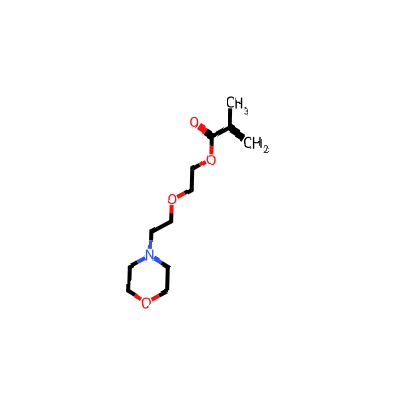 C=C(C)C(=O)OCCOCCN1CCOCC1